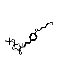 CC(C)(C)OC(=O)NC(CCCc1ccc(OCCCCCl)cc1)C(=O)O